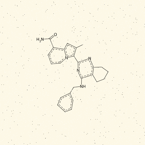 Cc1cc2c(C(N)=O)cccn2c1-c1nc2c(c(NCc3ccccc3)n1)CCCC2